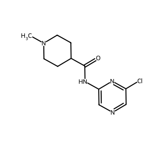 CN1CCC(C(=O)Nc2cncc(Cl)n2)CC1